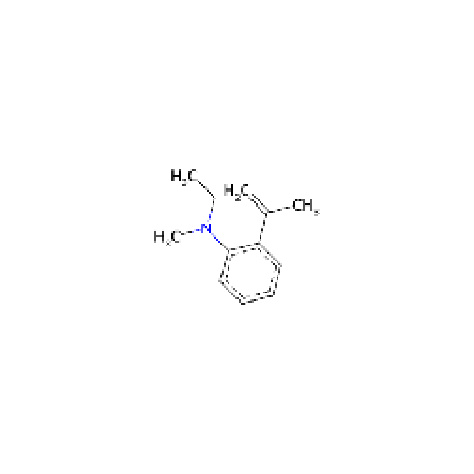 C=C(C)c1ccccc1N(C)CC